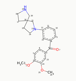 COc1ccc(C(=O)c2cccc(N3CCC4(CCNC4)C3)c2)cc1OC